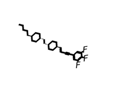 CCCCC[C@H]1CC[C@H](CC[C@H]2CC[C@H](C=CC#Cc3cc(F)c(F)c(F)c3)CC2)CC1